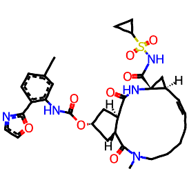 Cc1ccc(-c2ncco2)c(NC(=O)O[C@@H]2C[C@H]3C(=O)N[C@]4(C(=O)NS(=O)(=O)C5CC5)C[C@H]4/C=C\CCCCN(C)C(=O)[C@@H]3C2)c1